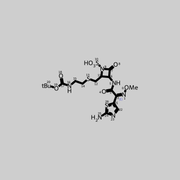 CO/N=C(\C(=O)NC1C(=O)N(S(=O)(=O)O)C1CSCCNC(=O)OC(C)(C)C)c1cnc(N)s1